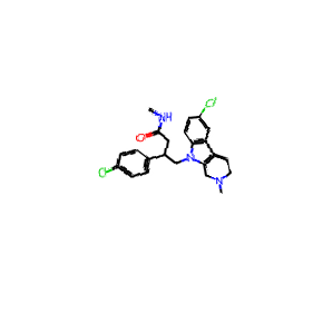 CNC(=O)CC(Cn1c2c(c3cc(Cl)ccc31)CCN(C)C2)c1ccc(Cl)cc1